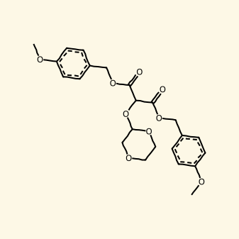 COc1ccc(COC(=O)C(OC2COCCO2)C(=O)OCc2ccc(OC)cc2)cc1